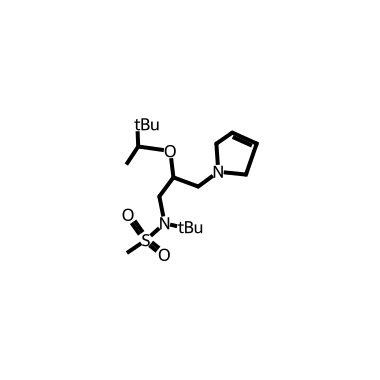 CC(OC(CN1CC=CC1)CN(C(C)(C)C)S(C)(=O)=O)C(C)(C)C